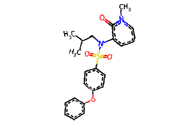 CC(C)CN(c1cccn(C)c1=O)S(=O)(=O)c1ccc(Oc2ccccc2)cc1